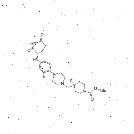 CC(C)(C)OC(=O)N1CCC(F)(CN2CCN(c3ccc(NC4CCC(=O)NC4=O)cc3F)CC2)CC1